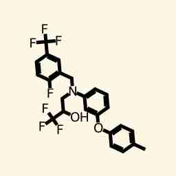 Cc1ccc(Oc2cccc(N(Cc3cc(C(F)(F)F)ccc3F)CC(O)C(F)(F)F)c2)cc1